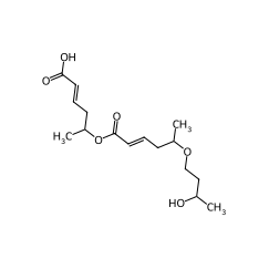 CC(O)CCOC(C)CC=CC(=O)OC(C)CC=CC(=O)O